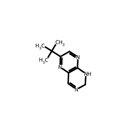 CC(C)(C)c1cnc2c(n1)C=NCN2